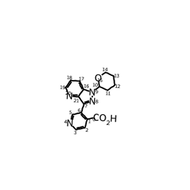 O=C(O)c1ccncc1-c1nn(C2CCCCO2)c2cccnc12